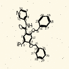 CC(C)c1cc(C(=O)Nc2cccnc2)c(OCc2ccccc2)cc1OCc1ccccc1